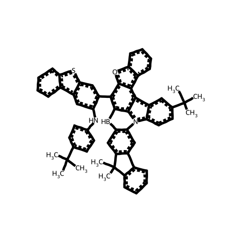 CC(C)(C)c1ccc(Nc2cc3c(cc2-c2c4c5c(c6cc(C(C)(C)C)ccc6n5-c5cc6c(cc5B4)C(C)(C)c4ccccc4-6)c4c2oc2ccccc24)sc2ccccc23)cc1